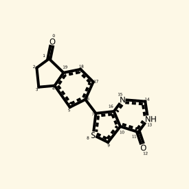 O=C1CCc2cc(-c3scc4c(=O)[nH]cnc34)ccc21